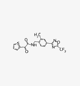 Cc1cc(-c2noc(C(F)(F)F)n2)ccc1CNC(=O)C(=O)c1cccs1